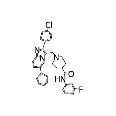 O=C(Nc1cccc(F)c1)C1CCN(Cc2c(-c3ccc(Cl)cc3)nc3ccc(-c4ccccc4)cn23)CC1